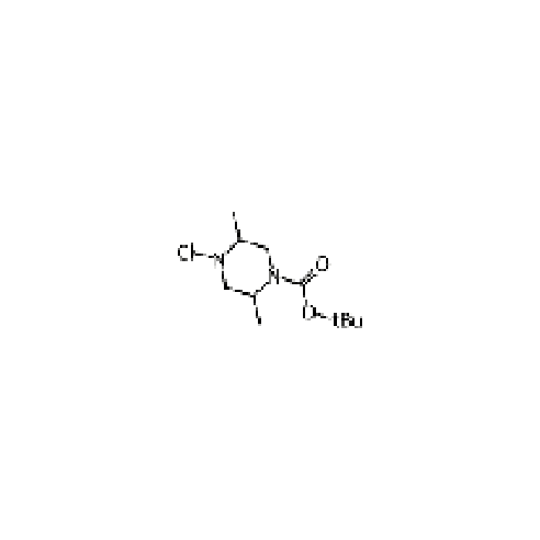 CC1CN(C(=O)OC(C)(C)C)C(C)CN1Cl